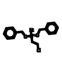 CC[N+](CCCl)(OCc1ccccc1)OCc1ccccc1